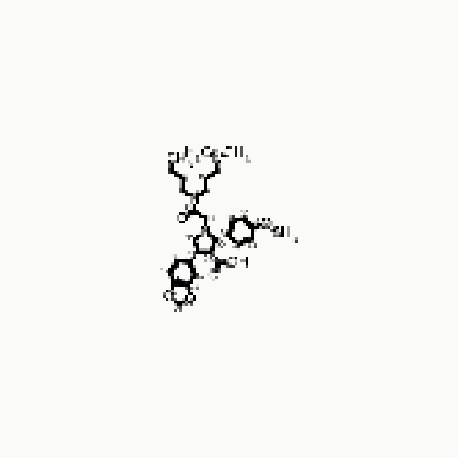 CCCCN(CCCN(C)C)C(=O)CN1C[C@H](c2ccc3c(c2)OCO3)[C@H](C(=O)O)[C@H]1c1ccc(OC)cc1